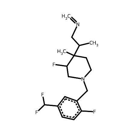 C=NCC(C)C1(C)CCN(Cc2cc(C(F)F)ccc2F)CC1F